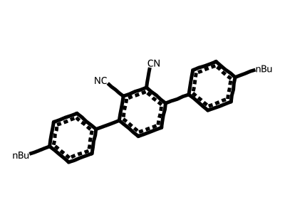 CCCCc1ccc(-c2ccc(-c3ccc(CCCC)cc3)c(C#N)c2C#N)cc1